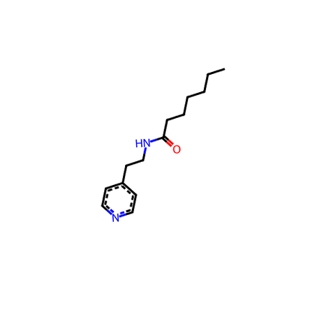 CCCCCCC(=O)NCCc1ccncc1